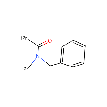 CC(C)C(=O)N(Cc1ccccc1)C(C)C